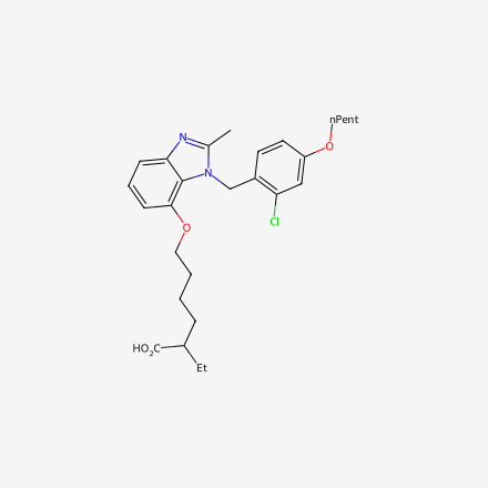 CCCCCOc1ccc(Cn2c(C)nc3cccc(OCCCCC(CC)C(=O)O)c32)c(Cl)c1